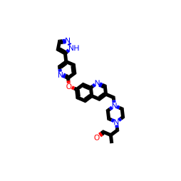 CC(C=O)CN1CCN(Cc2cnc3cc(Oc4ccc(-c5ccn[nH]5)cn4)ccc3c2)CC1